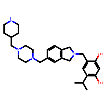 CC(C)c1cc(CN2Cc3ccc(CN4CCN(CC5CCNCC5)CC4)cc3C2)c(O)cc1O